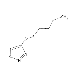 CCCCSSc1csnn1